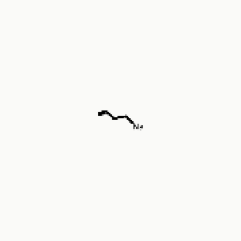 C=CC[CH2][Na]